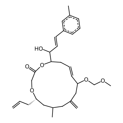 C=CC[C@H]1CC(C)CC(=C)CC(OCOC)/C=C/CC(C(O)/C=C/c2cccc(C)c2)OC(=O)CO1